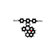 COc1ccc(-c2ccc(-c3ccc(OC)cc3)c3nc4c(nc23)-c2ccccc2C(=C2CCCc3ccc5ccccc5c32)c2ccccc2-4)cc1